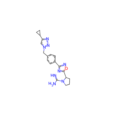 N=C(N)N1CCCC1c1nc(-c2ccc(Cn3cc(C4CC4)nn3)cc2)no1